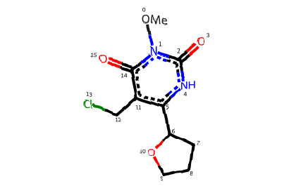 COn1c(=O)[nH]c(C2CCCO2)c(CCl)c1=O